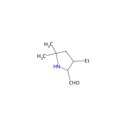 CCC1CC(C)(C)NC1C=O